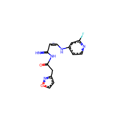 N=C(/C=C\Nc1ccnc(F)c1)NC(=O)Cc1ccon1